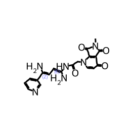 CN1C(=O)c2c(n(CC(=O)N/C(N)=C/C=C(\N)c3cccnc3)ccc2=O)C1=O